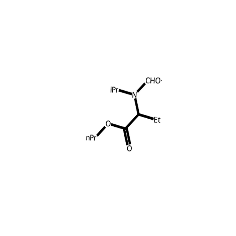 CCCOC(=O)C(CC)N([C]=O)C(C)C